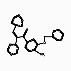 O=C(/C(=C\c1ccccc1)c1ccccc1)c1ccc([N+](=O)[O-])c(OCc2ccccc2)c1